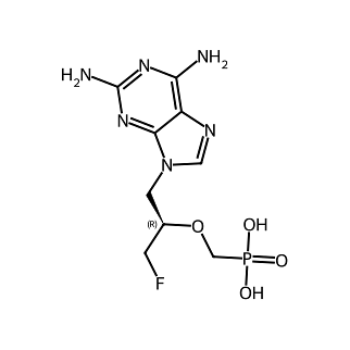 Nc1nc(N)c2ncn(C[C@H](CF)OCP(=O)(O)O)c2n1